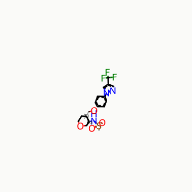 CS(=O)(=O)N[C@H]1COCC[C@@H]1COc1ccc(-n2cc(C(F)(F)F)cn2)cc1